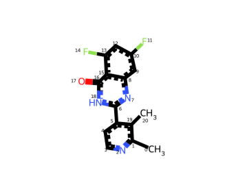 Cc1nccc(-c2nc3cc(F)cc(F)c3c(=O)[nH]2)c1C